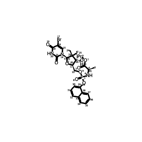 CC(C)OC(=O)[C@@H](C)NP(=O)(OC[C@H]1O[C@@H](n2cc(Br)c(=O)[nH]c2=O)[C@](C)(F)[C@@H]1O)Oc1cccc2ccccc12